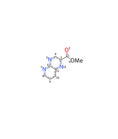 COC(=O)c1cnc2ncccc2n1